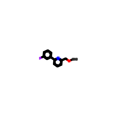 O=COCc1cccc(-c2cccc(I)c2)n1